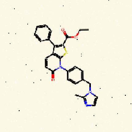 CCOC(=O)c1sc2c(ccc(=O)n2-c2ccc(Cn3ccnc3C)cc2)c1-c1ccccc1